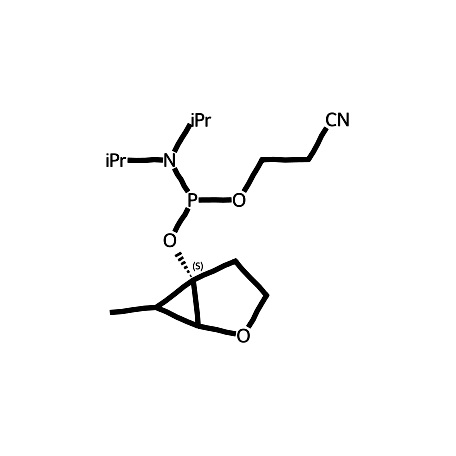 CC(C)N(C(C)C)P(OCCC#N)O[C@]12CCOC1C2C